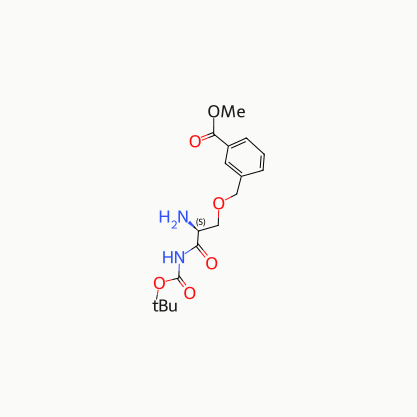 COC(=O)c1cccc(COC[C@H](N)C(=O)NC(=O)OC(C)(C)C)c1